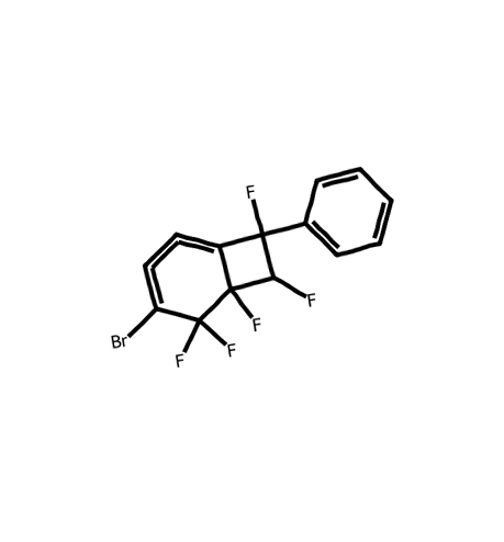 FC1C(F)(c2ccccc2)C2=C=C=C(Br)C(F)(F)C21F